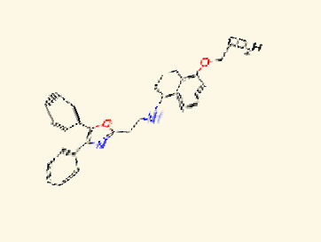 O=C(O)COc1cccc2c1CCCC2NCCc1nc(-c2ccccc2)c(-c2ccccc2)o1